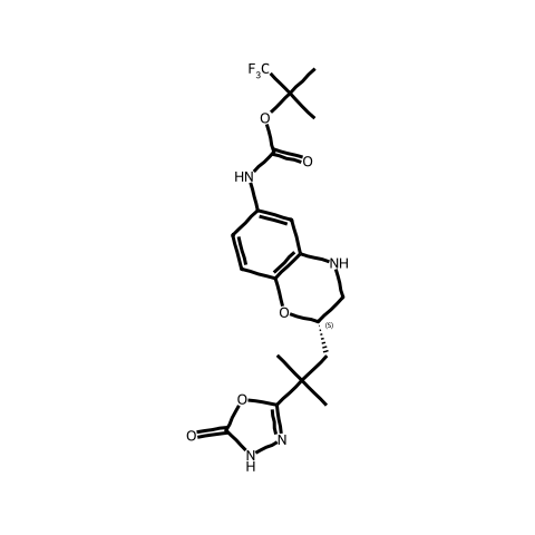 CC(C)(C[C@H]1CNc2cc(NC(=O)OC(C)(C)C(F)(F)F)ccc2O1)c1n[nH]c(=O)o1